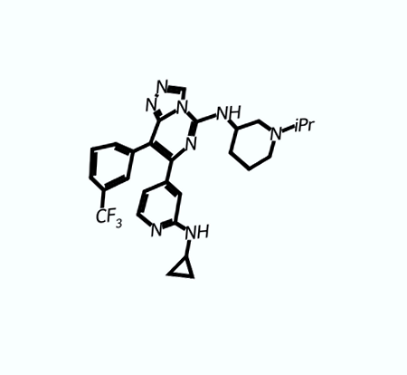 CC(C)N1CCCC(Nc2nc(-c3ccnc(NC4CC4)c3)c(-c3cccc(C(F)(F)F)c3)c3nncn23)C1